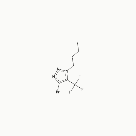 CCCCn1nnc(Br)c1C(F)(F)F